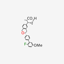 COc1ccc(F)c(-c2ccc([C@H]3Cc4cc(C(C5CC5)[C@H](C)C(=O)O)ccc4CO3)cc2)c1